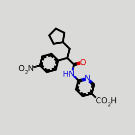 O=C(O)c1ccc(NC(=O)C(CC2CCCC2)c2ccc([N+](=O)[O-])cc2)nc1